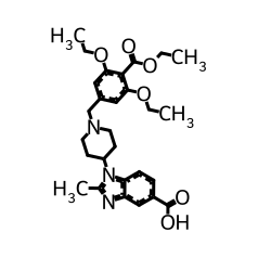 CCOC(=O)c1c(OCC)cc(CN2CCC(n3c(C)nc4cc(C(=O)O)ccc43)CC2)cc1OCC